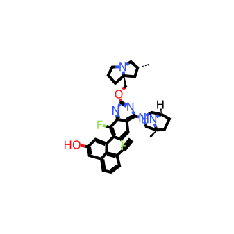 C#Cc1cccc2cc(O)cc(-c3c(F)cc4c(N5C[C@H]6CC[C@](C)(C5)N6)nc(OC[C@@]56CCCN5C[C@H](C)C6)nc4c3F)c12